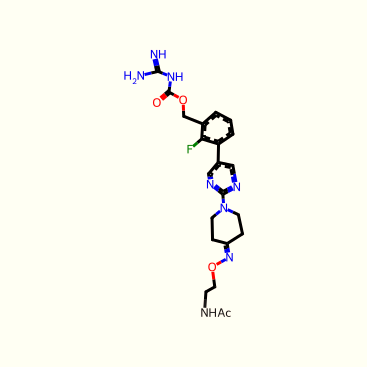 CC(=O)NCCON=C1CCN(c2ncc(-c3cccc(COC(=O)NC(=N)N)c3F)cn2)CC1